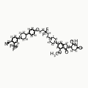 COc1cc(N2CCN(CCC(F)(F)CCOc3ccc(C4CCN(c5ccc(C#N)c(C(F)(F)F)c5)CC4)cc3)CC2)cc2c1C(=O)N(C1CCC(=O)NC1=O)C2